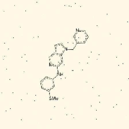 CSc1cccc(Nc2cc3c(ccn3Cc3cccnc3)cn2)c1